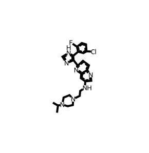 CC(C)N1CCN(CCNc2cnc3ccc(-c4nc[nH]c4-c4cc(Cl)ccc4F)nc3c2)CC1